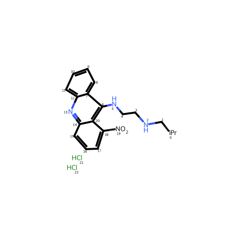 CC(C)CNCCNc1c2ccccc2nc2cccc([N+](=O)[O-])c12.Cl.Cl